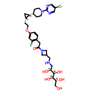 O=C(Cc1ccc(OCC[C@@H]2C[C@@H]2C2CCN(c3ncc(Cl)cn3)CC2)cc1F)N1CC(CNC[C@H](O)[C@@H](O)[C@H](O)[C@H](O)CO)C1